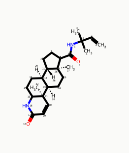 C=CC(C)(C)NC(=O)C1CC[C@H]2[C@@H]3CCC4NC(=O)C=C[C@]4(C)[C@@H]3CC[C@]12C